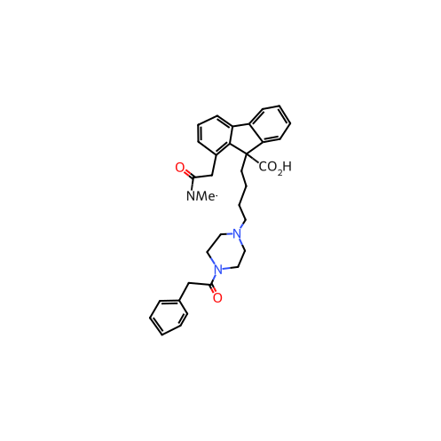 C[N]C(=O)Cc1cccc2c1C(CCCCN1CCN(C(=O)Cc3ccccc3)CC1)(C(=O)O)c1ccccc1-2